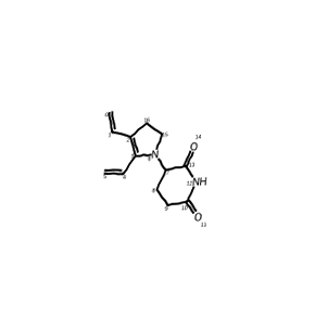 C=CC1=C(C=C)N(C2CCC(=O)NC2=O)CC1